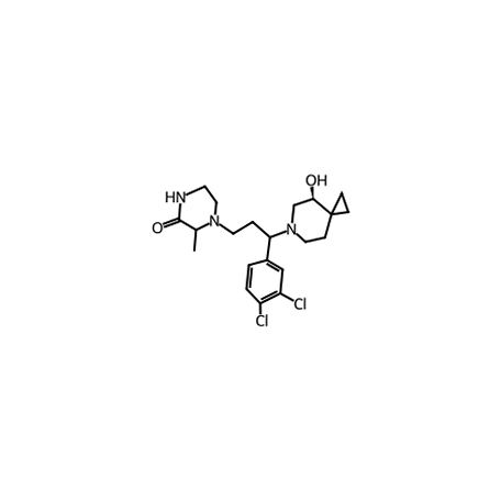 CC1C(=O)NCCN1CCC(c1ccc(Cl)c(Cl)c1)N1CCC2(CC2)[C@H](O)C1